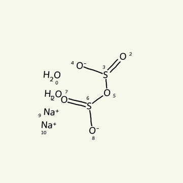 O.O.O=S([O-])OS(=O)[O-].[Na+].[Na+]